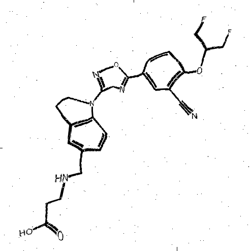 N#Cc1cc(-c2nc(N3CCc4cc(CNCCC(=O)O)ccc43)no2)ccc1OC(CF)CF